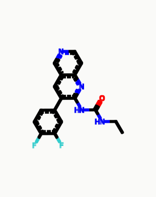 CCNC(=O)Nc1nc2ccncc2cc1-c1ccc(F)c(F)c1